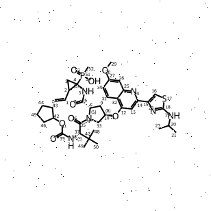 C=CC1C[C@]1(NC(=O)[C@@H]1C[C@@H](Oc2cc(-c3csc(NC(C)C)n3)nc3cc(OC)ccc23)CN1C(=O)[C@@H](NC(=O)OC1CCCC1)C(C)(C)C)P(C)(=O)O